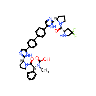 CN(C(=O)O)[C@@H](C(=O)N1CCC[C@H]1c1ncc(-c2ccc(-c3ccc(-c4cnc([C@@H]5CCCN5C(=O)[C@@H]5CC(F)(F)CN5)[nH]4)cc3)cc2)[nH]1)c1ccccc1